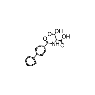 O=C(NC(C(=O)O)C(=O)O)c1ccc(-c2ccccc2)cc1